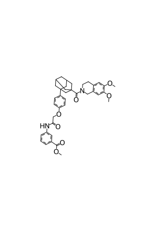 COC(=O)c1cccc(NC(=O)COc2ccc(C34CC5CC(CC(C(=O)N6CCc7cc(OC)c(OC)cc7C6)(C5)C3)C4)cc2)c1